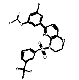 O=S(=O)(c1cccc(C(F)(F)F)c1)N1CCOc2ccc(-c3cc(F)cc(OC(F)F)c3)nc21